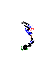 BN/C(C)=C(\O)c1nnc(SCCCN2CCC3(CC3c3ccc(C(F)(F)F)cc3F)C2)n1C